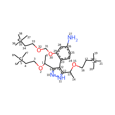 CC(OCC[Si](C)(C)C)c1n[nH]c(C(C)OCC[Si](C)(C)C)c1-c1ccc(N)cc1OCOCC[Si](C)(C)C